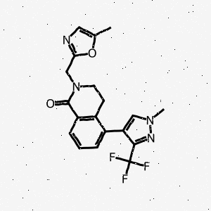 Cc1cnc(CN2CCc3c(cccc3-c3cn(C)nc3C(F)(F)F)C2=O)o1